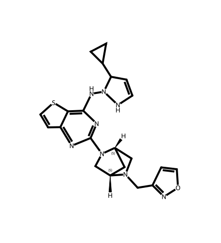 C1=CC(C2CC2)N(Nc2nc(N3C[C@@H]4C[C@H]3CN4Cc3ccon3)nc3ccsc23)N1